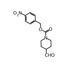 O=CC1CCN(C(=O)OCc2ccc([N+](=O)[O-])cc2)CC1